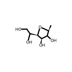 C[C@@H]1O[C@H](C(O)CO)[C@H](O)C1O